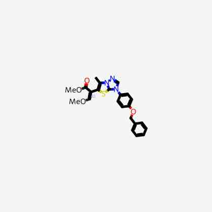 CO/C=C(\C(=O)OC)C1=C(C)N2N=CN(c3ccc(OCc4ccccc4)cc3)C2S1